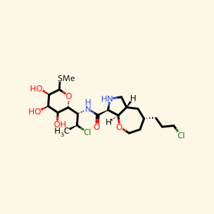 CSC1O[C@H]([C@H](NC(=O)[C@H]2NC[C@@H]3C[C@H](CCCCl)CCO[C@H]32)[C@H](C)Cl)C(O)[C@@H](O)[C@H]1O